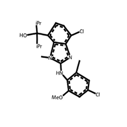 COc1cc(Cl)cc(C)c1Nc1nc2c(Cl)ccc(C(O)(C(C)C)C(C)C)c2n1C